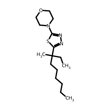 CCCCCCC(C)(CC)c1nnc(N2CCOCC2)s1